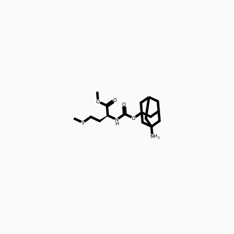 COC(=O)[C@H](CCSC)NC(=O)OC12CC3CC(CC(N)(C3)C1)C2